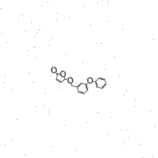 O=C1C=CC(OCc2cccc(Oc3ccccc3)c2)O1